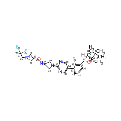 CC(C)(C)[Si](C)(C)OCc1cccc(-c2cnc(N3CC(=NOC4CN(CC(F)(F)F)C4)C3)nc2)c1F